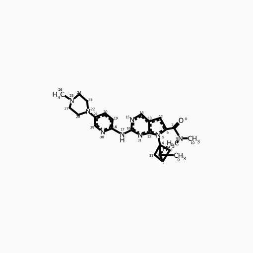 C[C@@H]1C2CC1(n1c(C(=O)N(C)C)cc3cnc(Nc4ccc(N5CCN(C)CC5)cn4)nc31)C2